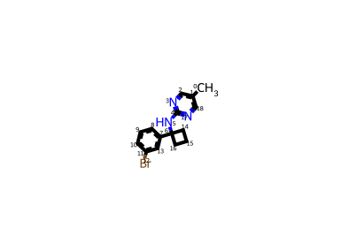 Cc1cnc(NC2(c3cccc(Br)c3)CCC2)nc1